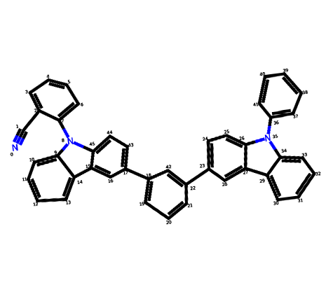 N#Cc1ccccc1-n1c2ccccc2c2cc(-c3cccc(-c4ccc5c(c4)c4ccccc4n5-c4ccccc4)c3)ccc21